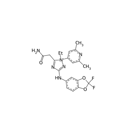 CC[N+]1(c2cc(C)nc(C)c2)N=C(Nc2ccc3c(c2)OC(F)(F)O3)N=C1CC(N)=O